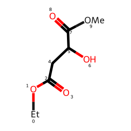 CCOC(=O)CC(O)C(=O)OC